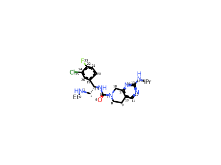 CCNC[C@@H](NC(=O)N1CCc2cnc(NC(C)C)nc2C1)c1ccc(F)c(Cl)c1